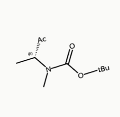 CC(=O)[C@@H](C)N(C)C(=O)OC(C)(C)C